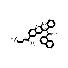 C/C=C\C=C(/C)c1ccc2nc(CC)c([C@@H](c3ccccc3)C(CCC)c3cccc4ccccc34)cc2c1